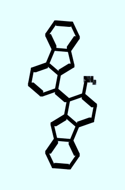 Nc1ccc2c(c1=c1cccc3c1=Cc1ccccc1-3)=Cc1ccccc1-2